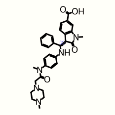 CN1CCN(CC(=O)N(C)c2ccc(N/C(=C3\C(=O)N(C)c4cc(C(=O)O)ccc43)c3ccccc3)cc2)CC1